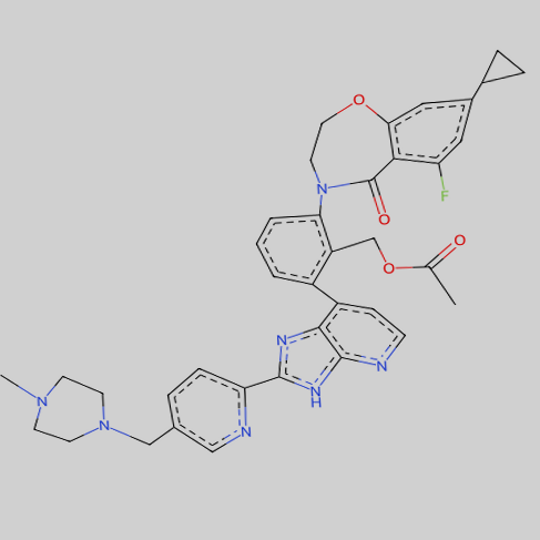 CC(=O)OCc1c(-c2ccnc3[nH]c(-c4ccc(CN5CCN(C)CC5)cn4)nc23)cccc1N1CCOc2cc(C3CC3)cc(F)c2C1=O